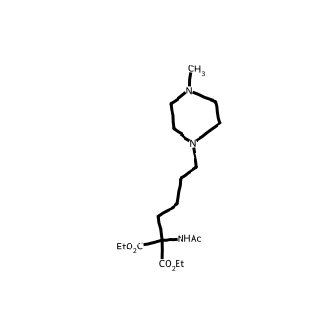 CCOC(=O)C(CCCCN1CCN(C)CC1)(NC(C)=O)C(=O)OCC